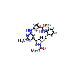 COC(=O)N1CCC(c2cc(Nc3ncc(C(=O)Nc4c(C)cccc4Cl)s3)nc(C)n2)C1